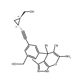 Cc1n[nH]c2c1C(c1cc(C#C[C@@H]3C[C@H]3CO)cc(CO)c1)(C(C)C)C(C#N)=C(N)O2